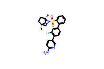 Nc1ccc(-c2ccc(-c3ccccc3S(=O)(=O)N3C[C@H]4CC[C@@H]3C4)cc2F)cn1